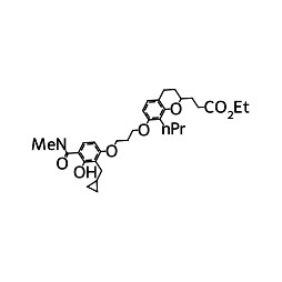 CCCc1c(OCCCOc2ccc(C(=O)NC)c(O)c2CC2CC2)ccc2c1OC(CCC(=O)OCC)CC2